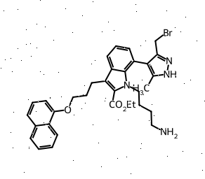 CCOC(=O)c1c(CCCOc2cccc3ccccc23)c2cccc(-c3c(CBr)n[nH]c3C)c2n1CCCCN